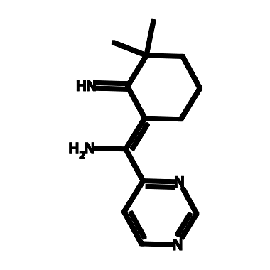 CC1(C)CCC/C(=C(/N)c2ccncn2)C1=N